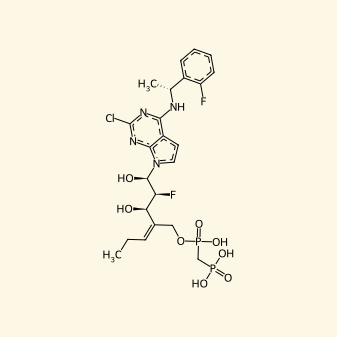 CC/C=C(/COP(=O)(O)CP(=O)(O)O)[C@@H](O)[C@H](F)[C@@H](O)n1ccc2c(N[C@H](C)c3ccccc3F)nc(Cl)nc21